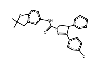 CC1(C)Cc2cc(NC(=O)N3CC(c4ccccc4)C(c4ccc(Cl)cc4)=N3)ccc2O1